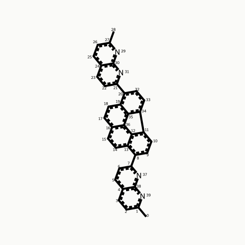 Cc1ccc2ccc(-c3ccc4c5c3ccc3ccc6c(-c7ccc8ccc(C)nc8n7)ccc-4c6c35)nc2n1